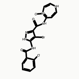 O=C(Nc1[nH]nc(C(=O)NC2=[N+]([O-])C=CNC=C2)c1Br)c1ccccc1Cl